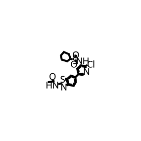 CC(=O)Nc1nc2ccc(-c3cnc(Cl)c(NS(=O)(=O)C4CCCCC4)c3)cc2s1